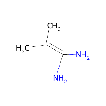 CC(C)=C(N)N